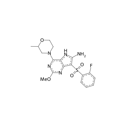 COc1nc(N2CCOC(C)C2)c2[nH]c(N)c(S(=O)(=O)c3ccccc3F)c2n1